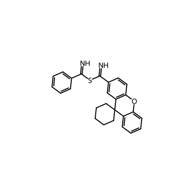 N=C(SC(=N)c1ccc2c(c1)C1(CCCCC1)c1ccccc1O2)c1ccccc1